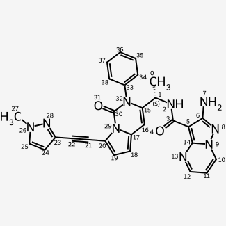 C[C@H](NC(=O)c1c(N)nn2cccnc12)c1cc2ccc(C#Cc3ccn(C)n3)n2c(=O)n1-c1ccccc1